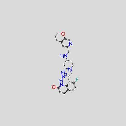 N[C@H](CN1CCC(NCc2cc3c(cn2)OCCC3)CC1)c1c(F)ccc2ccc(=O)[nH]c12